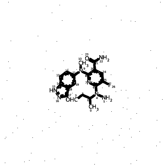 CC(CC=O)N(N)c1nc(N(C)c2ccc3[nH]ncc3c2)c(C(N)=O)cc1F